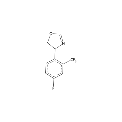 Fc1ccc(C2CO[C]=N2)c(C(F)(F)F)c1